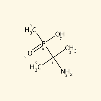 CC(C)(N)P(C)(=O)O